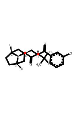 CC(C)(C)NC(=O)CN1[C@@H]2CC[C@H]1C[C@H](CNC(=O)c1cccc(Cl)c1)C2